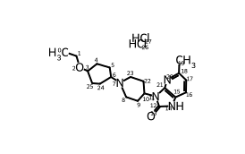 CCOC1CCC(N2CCC(n3c(=O)[nH]c4ccc(C)nc43)CC2)CC1.Cl.Cl